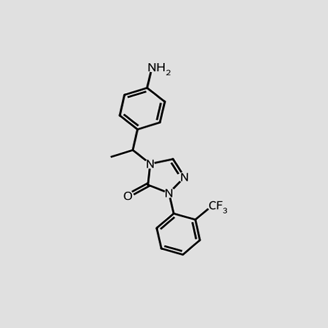 CC(c1ccc(N)cc1)n1cnn(-c2ccccc2C(F)(F)F)c1=O